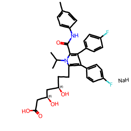 Cc1ccc(NC(=O)c2c(-c3ccc(F)cc3)c(-c3ccc(F)cc3)c(CC[C@@H](O)C[C@@H](O)CC(=O)O)n2C(C)C)cc1.[NaH]